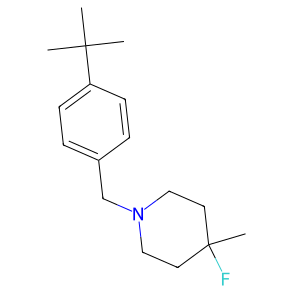 CC1(F)CCN(Cc2ccc(C(C)(C)C)cc2)CC1